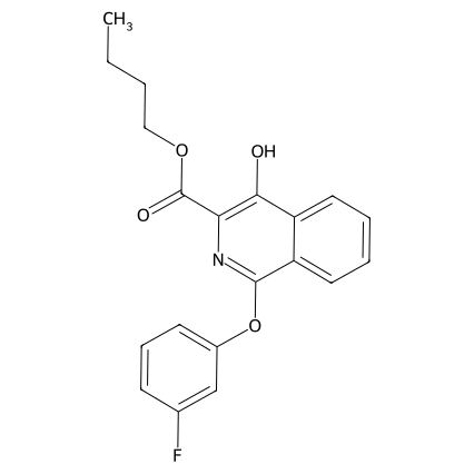 CCCCOC(=O)c1nc(Oc2cccc(F)c2)c2ccccc2c1O